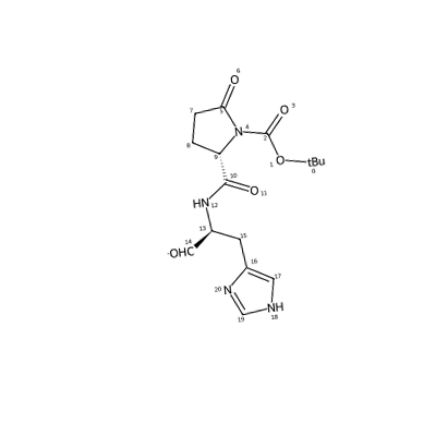 CC(C)(C)OC(=O)N1C(=O)CC[C@H]1C(=O)N[C@H]([C]=O)Cc1c[nH]cn1